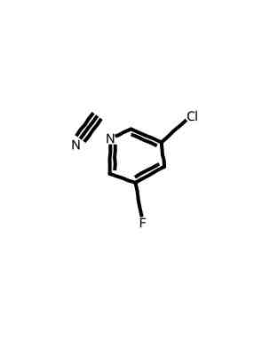 C#N.Fc1cncc(Cl)c1